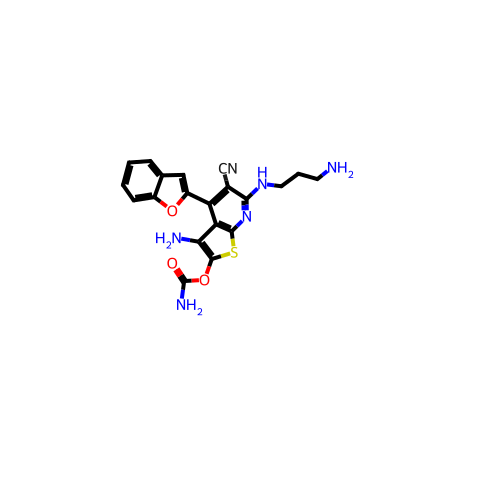 N#Cc1c(NCCCN)nc2sc(OC(N)=O)c(N)c2c1-c1cc2ccccc2o1